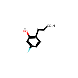 O=C(O)CCc1ccc(F)cc1O